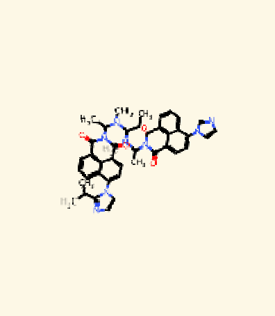 CCC(N(C)C(C)N1C(=O)c2cccc3c(-n4ccnc4)ccc(c23)C1=O)N(C)C(C)N1C(=O)c2cccc3c(-n4ccnc4C(C)C)ccc(c23)C1=O